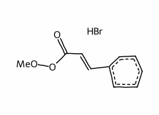 Br.COOC(=O)C=Cc1ccccc1